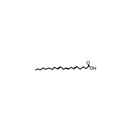 CCCCCCCCC=CCC=CCC=CCCCC(=O)O